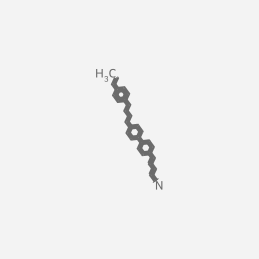 CCCc1ccc(CCCCC2CCC(C3CCC(C=CC=CC#N)CC3)CC2)cc1